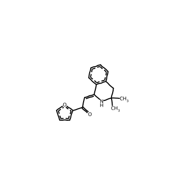 CC1(C)Cc2ccccc2/C(=C/C(=O)c2ccco2)N1